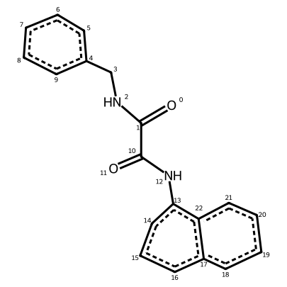 O=C(NCc1ccccc1)C(=O)Nc1cccc2ccccc12